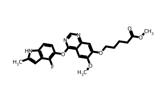 COC(=O)CCCCOc1cc2ncnc(Oc3ccc4[nH]c(C)cc4c3F)c2cc1OC